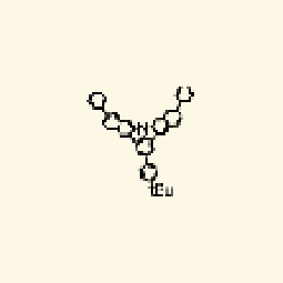 CC(C)(C)c1ccc(-c2cc3c4cc5ccc(-c6ccccc6)cc5cc4n4c5cc6cc(-c7ccccc7)ccc6cc5c(c2)c34)cc1